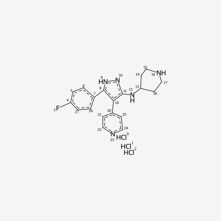 Cl.Cl.Cl.Fc1ccc(-c2[nH]nc(NC3CCNCC3)c2-c2ccncc2)cc1